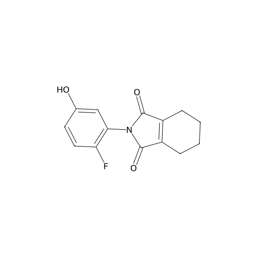 O=C1C2=C(CCCC2)C(=O)N1c1cc(O)ccc1F